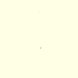 C=C/C(Cl)=C(C[C@H](OC(=O)CN1C(=O)Cc2cc(OC)ccc21)c1ccc(OC(F)F)c(OCC2CC2)c1)\C(Cl)=C/C